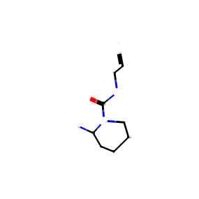 C=CCNC(=O)N1CCCCC1N